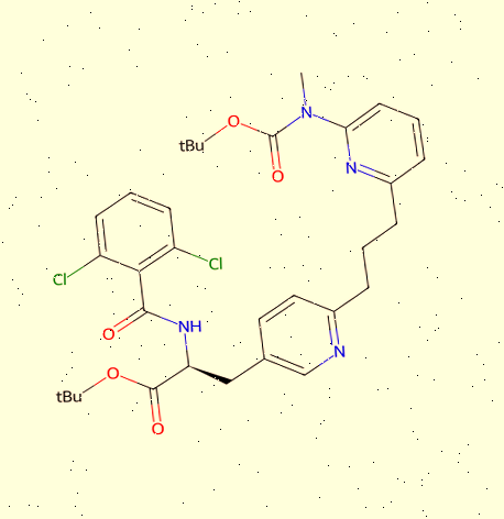 CN(C(=O)OC(C)(C)C)c1cccc(CCCc2ccc(C[C@H](NC(=O)c3c(Cl)cccc3Cl)C(=O)OC(C)(C)C)cn2)n1